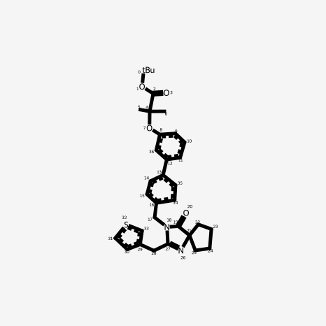 CC(C)(C)OC(=O)C(C)(C)Oc1cccc(-c2ccc(CN3C(=O)C4(CCCC4)N=C3Cc3ccsc3)cc2)c1